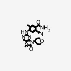 Cc1cc(C(N)=O)c(C#N)cc1Nc1ncc2c(n1)n(C1CCOCC1)c(=O)n2C